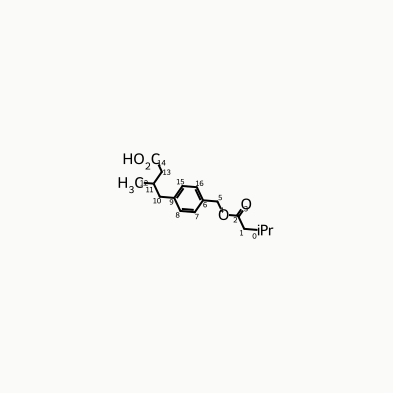 CC(C)CC(=O)OCc1ccc(CC(C)CC(=O)O)cc1